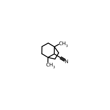 CC12CCCC(C)(CC1)C2C#N